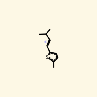 Cc1ccc(/C=C/C(C)C)s1